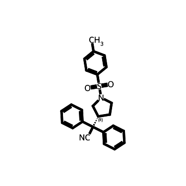 Cc1ccc(S(=O)(=O)N2CC[C@H](C(C#N)(c3ccccc3)c3ccccc3)C2)cc1